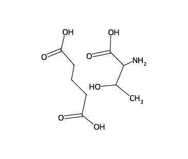 CC(O)C(N)C(=O)O.O=C(O)CCCC(=O)O